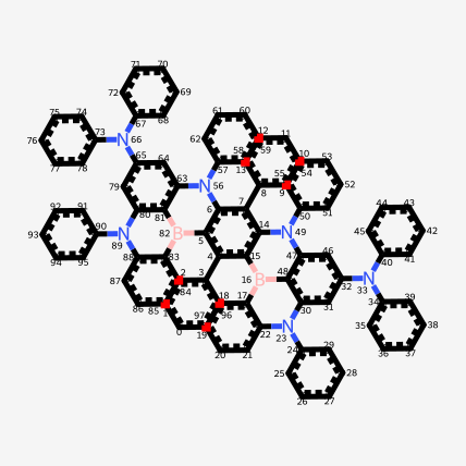 c1ccc(-c2c3c(c(-c4ccccc4)c4c2B2c5ccccc5N(c5ccccc5)c5cc(N(c6ccccc6)c6ccccc6)cc(c52)N4c2ccccc2)N(c2ccccc2)c2cc(N(c4ccccc4)c4ccccc4)cc4c2B3c2ccccc2N4c2ccccc2)cc1